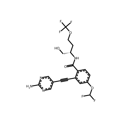 Nc1ncc(C#Cc2cc(OC(F)F)ccc2C(=O)N[C@H](CO)CCOC(F)(F)F)cn1